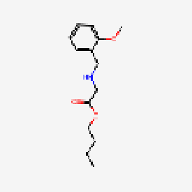 CCCCOC(=O)CNCc1ccccc1OC